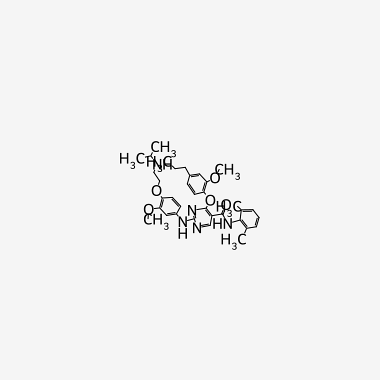 CCCc1ccc(Oc2nc(Nc3ccc(OCCNC(C)C)c(OC)c3)ncc2C(=O)Nc2c(C)cccc2C)c(OC)c1